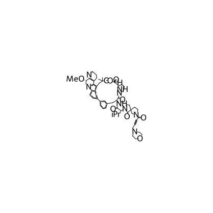 CO[C@@H](C)C1=C(c2c3c4cc(ccc4n2C)-c2cccc(c2)C[C@H](NC(=O)[C@H](C(C)C)N2CCC4(CCN(C(=O)C#CCN5CCOCC5)C4)C2=O)C(=O)N2CCC[C@H](N2)C(=O)OCC(C)(C)C3)CCC=N1